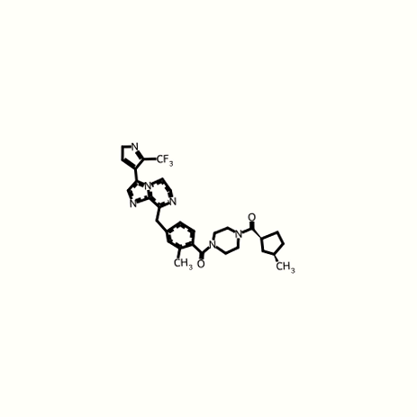 Cc1cc(Cc2nccn3c(C4=CCN=C4C(F)(F)F)cnc23)ccc1C(=O)N1CCN(C(=O)[C@H]2CC[C@@H](C)C2)CC1